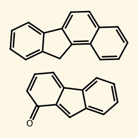 O=C1C=CC=C2C1=Cc1ccccc12.c1ccc2c(c1)Cc1c-2ccc2ccccc12